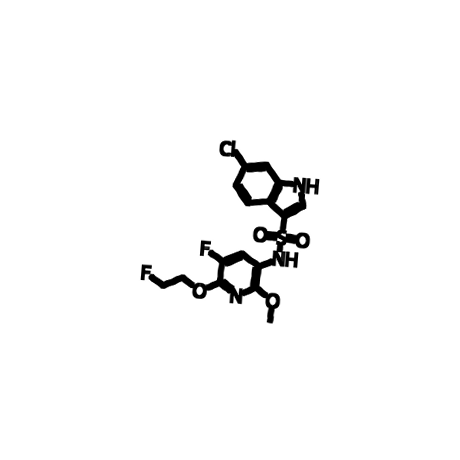 COc1nc(OCCF)c(F)cc1NS(=O)(=O)c1c[nH]c2cc(Cl)ccc12